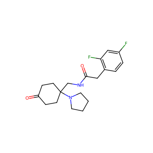 O=C1CCC(CNC(=O)Cc2ccc(F)cc2F)(N2CCCC2)CC1